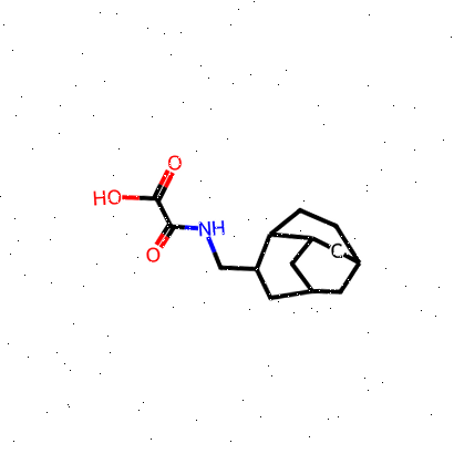 O=C(O)C(=O)NCC1CC2CC3CCC1C(C3)C2